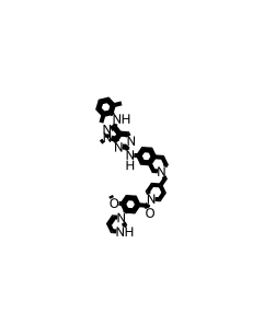 COc1ccc(C(=O)N2CCC(CN3CCc4ccc(Nc5ncc6c(Nc7c(C)cccc7C)nn(C)c6n5)cc4C3)CC2)cc1N1C=CCNC1